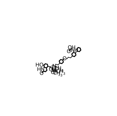 CC(C)(C)[Si](C)(C)O[C@@H](CNCCc1ccc(OCCCc2ccc(-c3ccccc3)c(NC(=O)O)c2)cc1)c1ccc(O)c2[nH]c(=O)ccc12